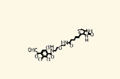 O=CC(=O)c1cc(Cl)c(C(=O)NCCOCCNC(=O)CCCCC2SCC3NC(=O)NC32)c(Cl)c1Cl